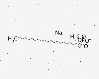 CCCCCCCCCCCCCCCCCCCCOC(=O)P(=O)([O-])OC.[Na+]